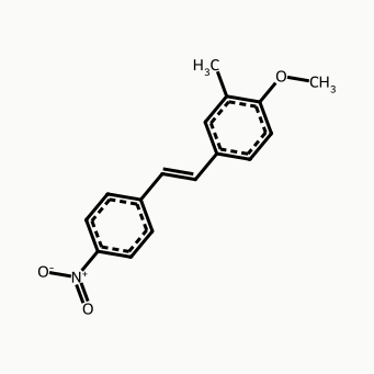 COc1ccc(C=Cc2ccc([N+](=O)[O-])cc2)cc1C